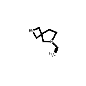 C=CN1CCC2(CNC2)C1